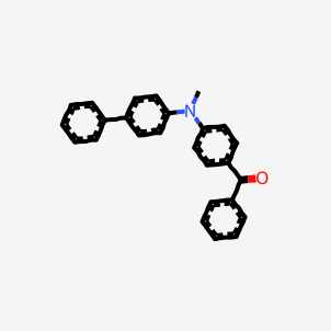 CN(c1ccc(C(=O)c2ccccc2)cc1)c1ccc(-c2ccccc2)cc1